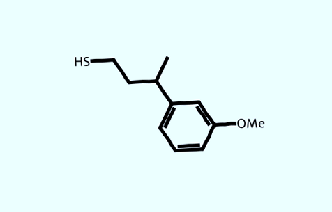 COc1cccc(C(C)CCS)c1